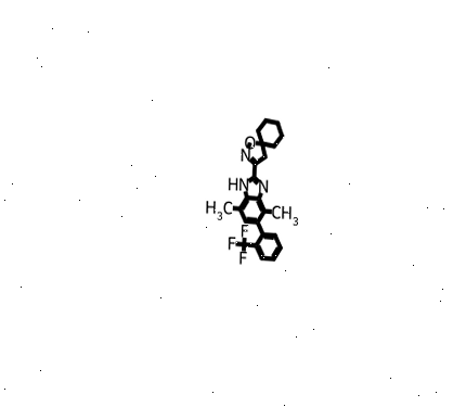 Cc1c(-c2ccccc2C(F)(F)F)cc(C)c2[nH]c(C3=NOC4(CCCCC4)C3)nc12